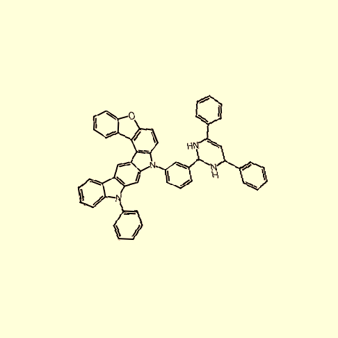 C1=C(c2ccccc2)NC(c2cccc(-n3c4cc5c(cc4c4c6c(ccc43)oc3ccccc36)c3ccccc3n5-c3ccccc3)c2)NC1c1ccccc1